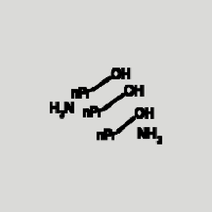 CCCO.CCCO.CCCO.N.N